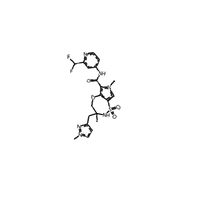 Cn1ccc(CC2(C)COc3c(cn(C)c3C(=O)Nc3ccnc(C(F)F)c3)S(=O)(=O)N2)n1